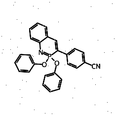 N#Cc1ccc(C2=Cc3ccccc3N=P2(Oc2ccccc2)Oc2ccccc2)cc1